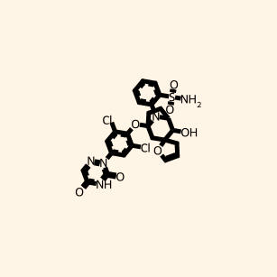 NS(=O)(=O)c1ccccc1N1C2CCC1(Oc1c(Cl)cc(-n3ncc(=O)[nH]c3=O)cc1Cl)CC1(CC=CO1)C2O